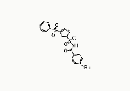 CC(C)(C)c1ccc(C(=O)NS(=O)(=O)c2cc(S(=O)(=O)c3ccccc3)cs2)cc1